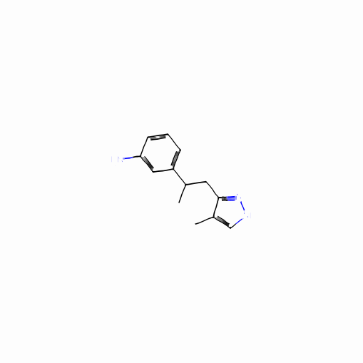 Cc1c[nH]nc1CC(C)c1cccc(N)c1